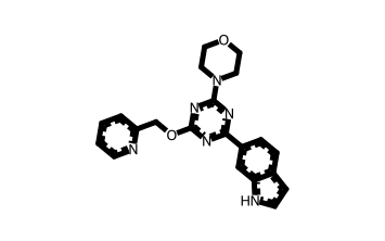 c1ccc(COc2nc(-c3ccc4cc[nH]c4c3)nc(N3CCOCC3)n2)nc1